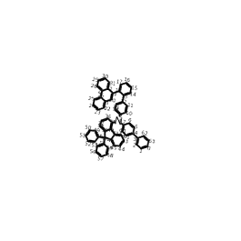 c1ccc(-c2ccc(N(c3ccc(-c4ccccc4-c4cc5ccccc5c5ccccc45)cc3)c3cccc4c3-c3ccccc3C4(c3ccccc3)c3ccccc3)cc2)cc1